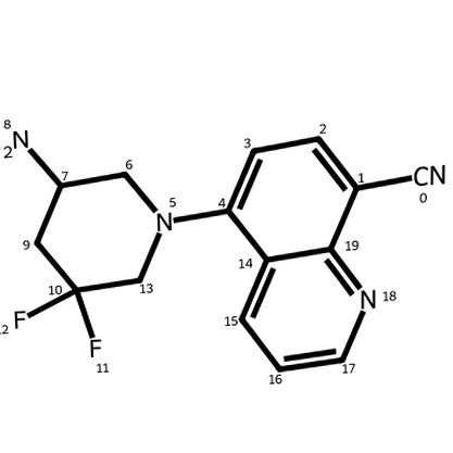 N#Cc1ccc(N2CC(N)CC(F)(F)C2)c2cccnc12